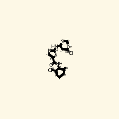 Cc1cccc(Cl)c1NC(=O)c1cnc(Nc2cc(Cl)ncn2)s1